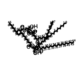 CCCCCCCCCCCCCCCCCC(=O)OCC(CO)(COC(=O)CCCCCCCCCCCCCCCCC)COC(=O)CCCCCCCC1=CCC(CCCCCC)CC1C(=O)OCC(CO)(CO)COC(=O)CCCCCCCCCCCCCCCCC